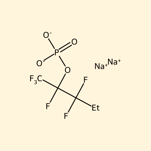 CCC(F)(F)C(F)(OP(=O)([O-])[O-])C(F)(F)F.[Na+].[Na+]